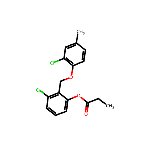 CCC(=O)Oc1cccc(Cl)c1COc1ccc(C)cc1Cl